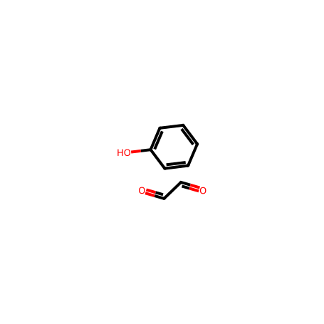 O=CC=O.Oc1ccccc1